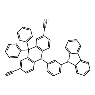 C#Cc1ccc2c(c1)C(c1ccccc1)(c1ccccc1)c1cc(C#N)ccc1N2c1cccc(-n2c3ccccc3c3ccccc32)c1